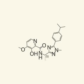 COc1ccnc(C(=O)N[C@@H](C)c2nc(-c3ccc(C(C)C)cc3)n(C)n2)c1O